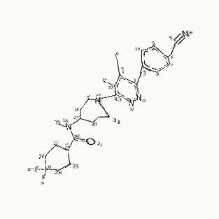 Cc1c(-c2ccc(C#N)cc2)nnc(N2CCC(N(C)C(=O)C3CCC(F)(F)CC3)CC2)c1C